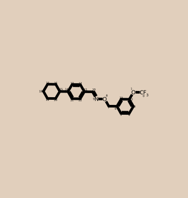 FC(F)(F)Oc1cccc(CON=[C]c2ccc(C3CCCCC3)cc2)c1